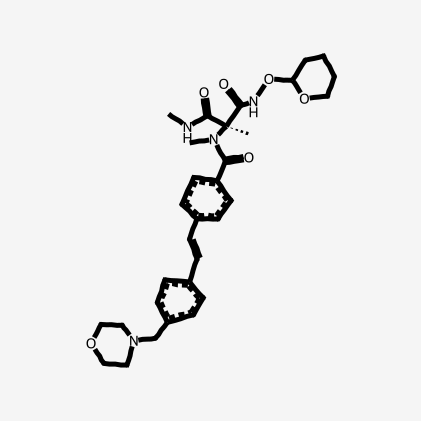 CNC(=O)[C@@](C)(C(=O)NOC1CCCCO1)N(C)C(=O)c1ccc(/C=C/c2ccc(CN3CCOCC3)cc2)cc1